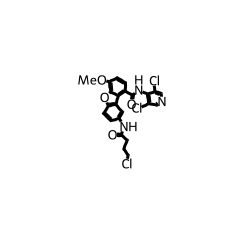 COc1ccc(C(=O)Nc2c(Cl)cncc2Cl)c2c1oc1ccc(NC(=O)CCCCl)cc12